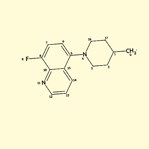 [CH2]C1CCN(c2ccc(F)c3ncccc23)CC1